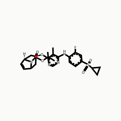 Cc1c(Nc2ccc(S(=O)(=O)C3CC3)cc2F)ncnc1O[C@H]1CC2C=C[C@@H](C1)N2C(=O)OC(C)C